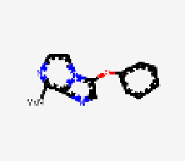 CNc1nccn2c(Oc3ccccc3)cnc12